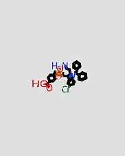 NCCc1c(CCS(=O)(=O)Cc2ccc(C(=O)O)cc2)c2cc(Cl)ccc2n1C(c1ccccc1)c1ccccc1